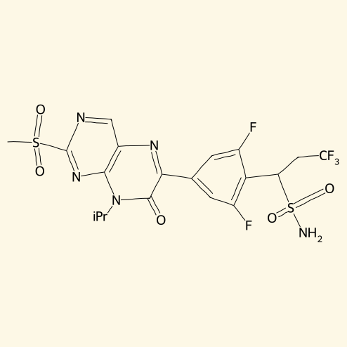 CC(C)n1c(=O)c(-c2cc(F)c(C(CC(F)(F)F)S(N)(=O)=O)c(F)c2)nc2cnc(S(C)(=O)=O)nc21